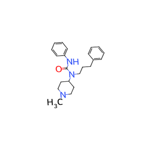 CN1CCC(N(CCCc2ccccc2)C(=O)Nc2ccccc2)CC1